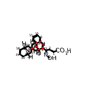 O=C(O)CC/C(=N\O)c1nc2ccccc2n([C@H]2C[C@H]3CCC[C@@H](C2)N3[C@H]2C[C@@H]3CCC[C@@H](C3)C2)c1=O